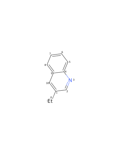 C[CH]c1cnc2ccccc2c1